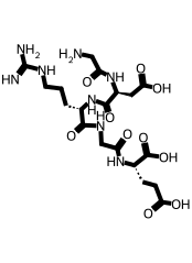 N=C(N)NCCC[C@H](NC(=O)[C@H](CC(=O)O)NC(=O)CN)C(=O)NCC(=O)N[C@@H](CCC(=O)O)C(=O)O